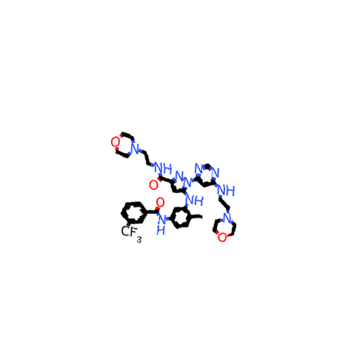 Cc1ccc(NC(=O)c2cccc(C(F)(F)F)c2)cc1Nc1cc(C(=O)NCCN2CCOCC2)nn1-c1cc(NCCN2CCOCC2)ncn1